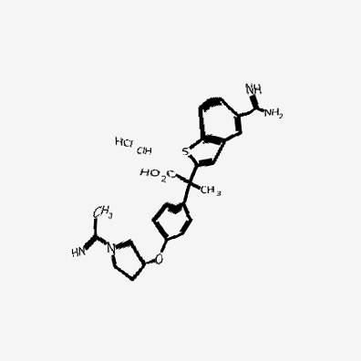 CC(=N)N1CC[C@H](Oc2ccc(C(C)(C(=O)O)c3cc4cc(C(=N)N)ccc4s3)cc2)C1.Cl.Cl